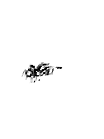 CCCCCC1(O)CC[C@H]2[C@@H]3CCC4CC(=O)CC(OC)[C@]4(C)[C@@H]3CC[C@@]21C